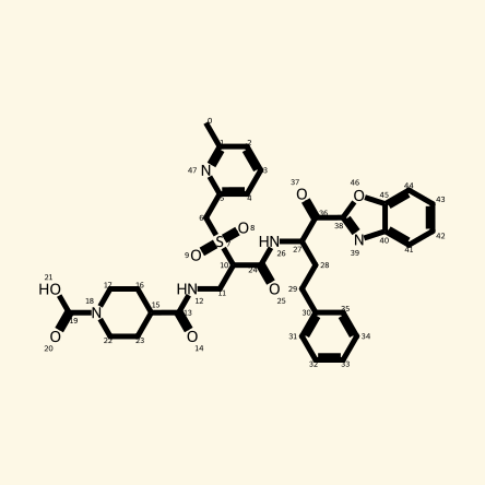 Cc1cccc(CS(=O)(=O)C(CNC(=O)C2CCN(C(=O)O)CC2)C(=O)NC(CCc2ccccc2)C(=O)c2nc3ccccc3o2)n1